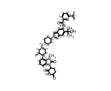 Cn1c(=O)n(C2CCC(=O)NC2=O)c2cccc([C@@H]3CCN(C[C@H]4CC[C@H](n5cc6cc(NC(=O)c7cccc(C(F)F)n7)c(C(C)(C)O)cc6n5)CC4)C[C@H]3F)c21